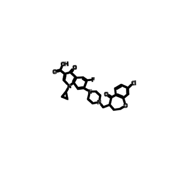 O=C(O)c1cn(C2CC2)c2cc(N3CCN(CC4CCOc5cc(Cl)ccc5C4=O)CC3)c(F)cc2c1=O